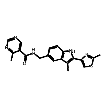 Cc1nc(-c2[nH]c3ccc(CNC(=O)c4cncnc4C)cc3c2C)cs1